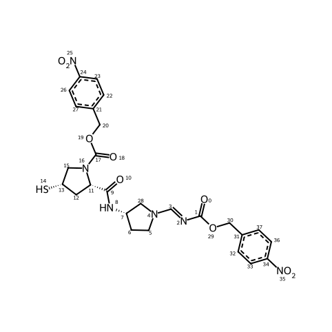 O=C(N=CN1CC[C@H](NC(=O)[C@@H]2C[C@H](S)CN2C(=O)OCc2ccc([N+](=O)[O-])cc2)C1)OCc1ccc([N+](=O)[O-])cc1